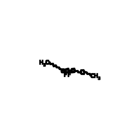 CCCCCCCCCCOc1ccc(-c2ccc(CCC3CCC(CCCCC)CC3)cc2)c(F)c1F